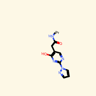 CC(C)NC(=O)Cc1cnc(-n2cccn2)nc1O